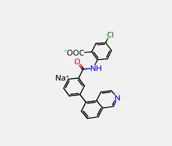 O=C(Nc1ccc(Cl)cc1C(=O)[O-])c1cccc(-c2cccc3cnccc23)c1.[Na+]